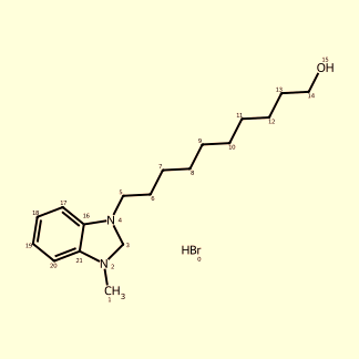 Br.CN1CN(CCCCCCCCCCO)c2ccccc21